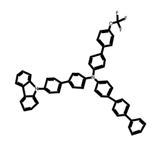 FC(F)(F)Oc1ccc(-c2ccc(N(c3ccc(-c4ccc(-c5ccccc5)cc4)cc3)c3ccc(-c4ccc(-n5c6ccccc6c6ccccc65)cc4)cc3)cc2)cc1